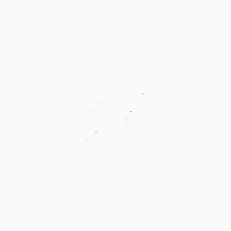 CNC(=O)CC[C@]1(c2ccc(F)cc2)CCN([C@@H](C)c2ccc(-c3ccc(F)cc3)c(F)c2)C(=O)O1